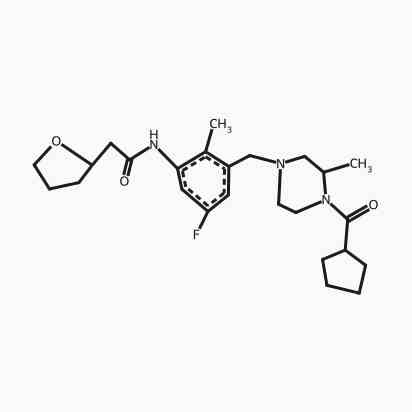 Cc1c(CN2CCN(C(=O)C3CCCC3)C(C)C2)cc(F)cc1NC(=O)CC1CCCO1